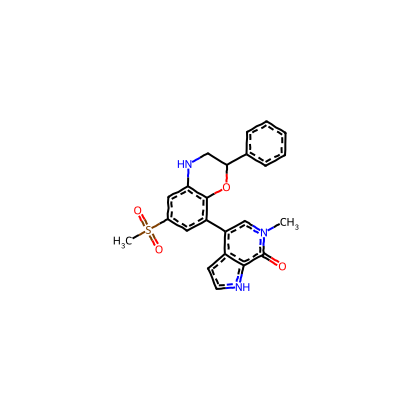 Cn1cc(-c2cc(S(C)(=O)=O)cc3c2OC(c2ccccc2)CN3)c2cc[nH]c2c1=O